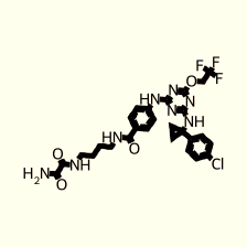 NC(=O)C(=O)NCCCCNC(=O)c1ccc(Nc2nc(NC3(c4ccc(Cl)cc4)CC3)nc(OCC(F)(F)F)n2)cc1